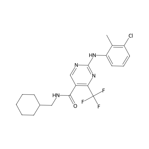 Cc1c(Cl)cccc1Nc1ncc(C(=O)NCC2CCCCC2)c(C(F)(F)F)n1